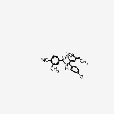 C=N/C(=C\C(C)=C/C)C(NC(=O)c1ccc(C#N)c(C)c1)c1ccc(Cl)cc1